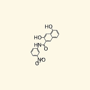 O=C(Nc1cccc([N+](=O)[O-])c1)c1cc2cccc(O)c2cc1O